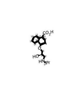 CC(C)NC[C@@H](O)COc1ccc(C(=O)O)c2ccccc12